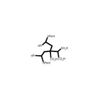 CCCCCC(CCC)CC(CC(CCC)CCCCC)(C(=O)O)C(C(=O)O)S(=O)(=O)O